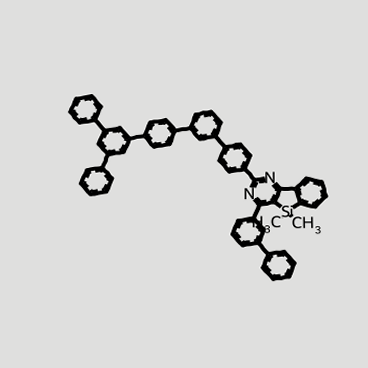 C[Si]1(C)c2ccccc2-c2nc(-c3ccc(-c4cccc(-c5ccc(-c6cc(-c7ccccc7)cc(-c7ccccc7)c6)cc5)c4)cc3)nc(-c3cccc(-c4ccccc4)c3)c21